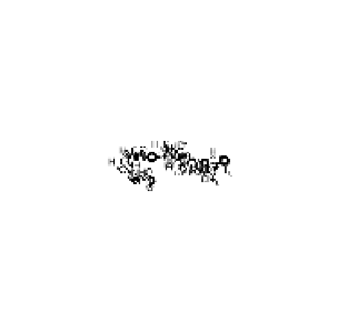 CC[C@H](C)[C@@H]([C@@H](CC(=O)N1CCC[C@H]1[C@H](OC)[C@@H](C)C(=O)N[C@H](C)[C@@H](O)c1ccccc1)OC)N(C)C(=O)[C@@H](NC(=O)[C@H](C(C)C)N(C)C(=O)OCc1ccc(NC(=O)[C@H](C)NC(=O)[C@H](C)NC(=O)[C@@H](CC(C)C)NC(=O)CCN2C(=O)C=CC2=O)cc1)C(C)C